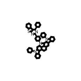 c1ccc(-c2nc(-c3ccc(-n4c5cc6c(c7ccc8cc9c%10ccccc%10n(-c%10ccccc%10)c9c4c8c75)c4ccccc4n6-c4ccccc4)cc3)nc3sc4ccccc4c23)cc1